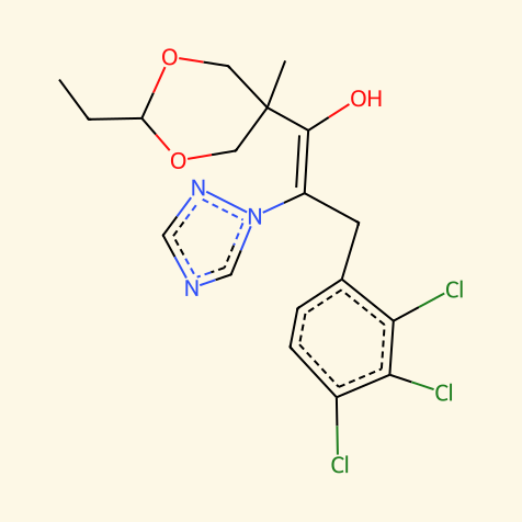 CCC1OCC(C)(C(O)=C(Cc2ccc(Cl)c(Cl)c2Cl)n2cncn2)CO1